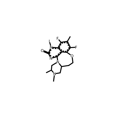 Cc1c(F)c2c3c(nc(=O)n(I)c3c1F)N1CC(C)N(C)CC1CCO2